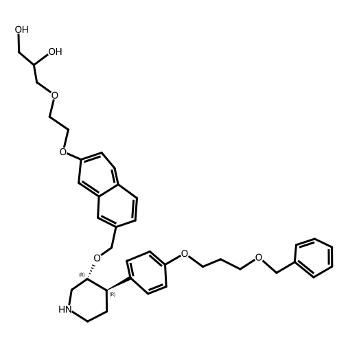 OCC(O)COCCOc1ccc2ccc(CO[C@H]3CNCC[C@@H]3c3ccc(OCCCOCc4ccccc4)cc3)cc2c1